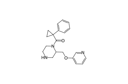 O=C(N1CCNCC1COc1cccnc1)C1(c2ccccc2)CC1